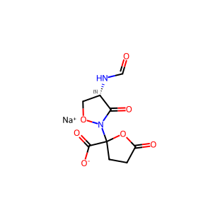 O=CN[C@H]1CON(C2(C(=O)[O-])CCC(=O)O2)C1=O.[Na+]